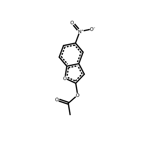 CC(=O)Oc1cc2cc([N+](=O)[O-])ccc2o1